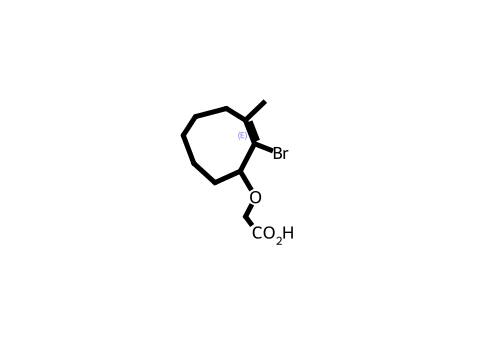 C/C1=C(\Br)C(OCC(=O)O)CCCCC1